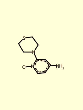 Nc1cc[n+]([O-])c(N2CCSCC2)c1